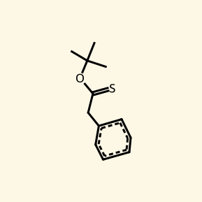 CC(C)(C)OC(=S)Cc1ccccc1